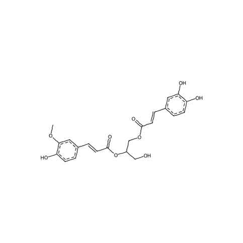 COc1cc(/C=C/C(=O)OC(CO)COC(=O)/C=C/c2ccc(O)c(O)c2)ccc1O